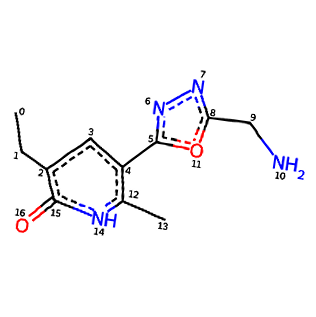 CCc1cc(-c2nnc(CN)o2)c(C)[nH]c1=O